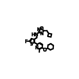 Cc1nc(-c2sc(F)cc2CNc2noc(CC3CCC3)n2)ccc1OC1CCCCC1